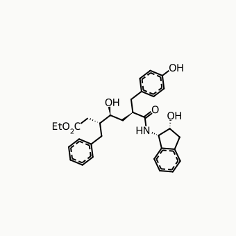 CCOC(=O)C[C@@H](Cc1ccccc1)[C@@H](O)C[C@@H](Cc1ccc(O)cc1)C(=O)N[C@H]1c2ccccc2C[C@H]1O